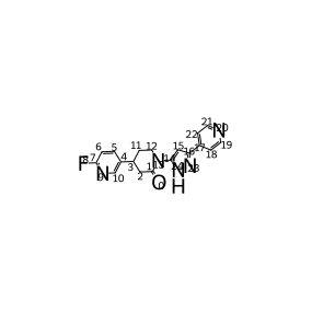 O=C1CC(c2ccc(F)nc2)CCN1c1cc(-c2ccncc2)n[nH]1